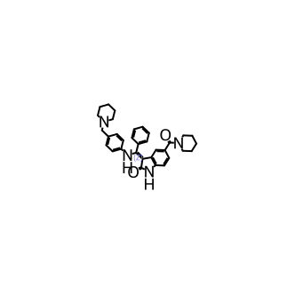 O=C1Nc2ccc(C(=O)N3CCCCC3)cc2/C1=C(/Nc1ccc(CN2CCCCC2)cc1)c1ccccc1